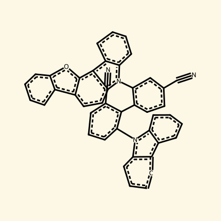 N#Cc1ccc(-c2c(C#N)cccc2-n2c3ccccc3c3ccccc32)c(-n2c3ccccc3c3c4oc5ccccc5c4ccc32)c1